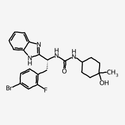 CC1(O)CCC(NC(=O)N[C@H](Cc2ccc(Br)cc2F)c2nc3ccccc3[nH]2)CC1